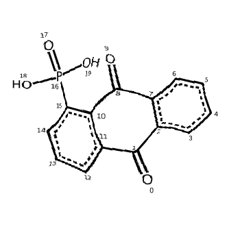 O=C1c2ccccc2C(=O)c2c1cccc2P(=O)(O)O